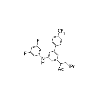 CC(=O)C(CC(C)C)c1cc(Nc2cc(F)cc(F)c2)cc(-c2ccc(C(F)(F)F)cc2)c1